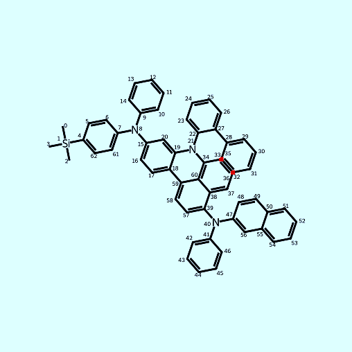 C[Si](C)(C)c1ccc(N(c2ccccc2)c2ccc3c(c2)N(c2ccccc2-c2ccccc2)c2cccc4c(N(c5ccccc5)c5ccc6ccccc6c5)ccc-3c24)cc1